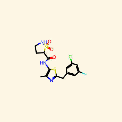 Cc1nc(Cc2cc(F)cc(Cl)c2)sc1NC(=O)C1CCNS1(=O)=O